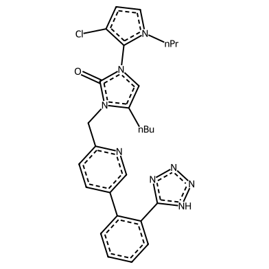 CCCCc1cn(-c2c(Cl)ccn2CCC)c(=O)n1Cc1ccc(-c2ccccc2-c2nnn[nH]2)cn1